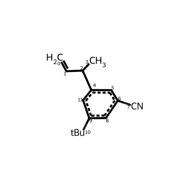 C=C[C](C)c1cc(C#N)cc(C(C)(C)C)c1